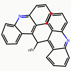 CCCC(c1c2ccccc2nc2ccccc12)c1c2ccccc2nc2ccccc12